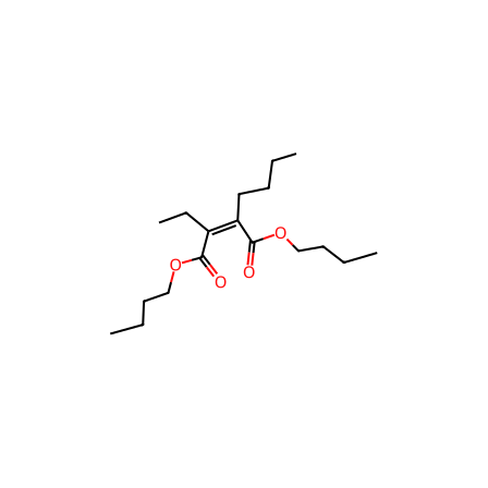 CCCCOC(=O)/C(CC)=C(/CCCC)C(=O)OCCCC